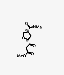 CNC(=O)[C@H]1CO[C@@H](C(=O)CC(=O)OC)C1